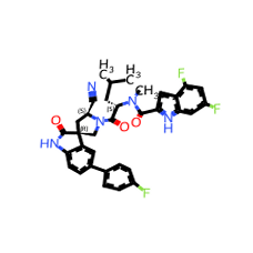 CC(C)C[C@@H](C(=O)N1C[C@]2(C[C@H]1C#N)C(=O)Nc1ccc(-c3ccc(F)cc3)cc12)N(C)C(=O)c1cc2c(F)cc(F)cc2[nH]1